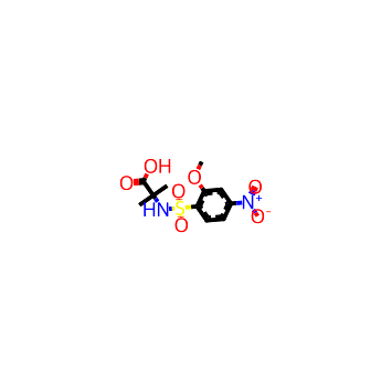 COc1cc([N+](=O)[O-])ccc1S(=O)(=O)NC(C)(C)C(=O)O